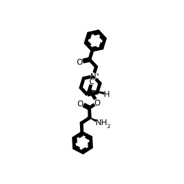 N[C@@H](Cc1ccccc1)C(=O)O[C@H]1C[N+]2(CC(=O)c3ccccc3)CCC1CC2